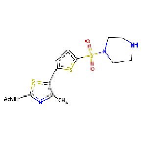 CC(=O)Nc1nc(C)c(-c2ccc(S(=O)(=O)N3CCNCC3)s2)s1